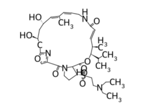 CCN(CC)CCS(=O)(=O)[C@@H]1CCN2C(=O)c3coc(n3)C[C@@H](O)C[C@H](O)/C=C(C)/C=C/CNC(=O)/C=C/[C@@H](C)[C@@H](C(C)C)OC(=O)[C@@H]12